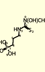 CN(O)C(=S)NCCCP(=O)(O)O